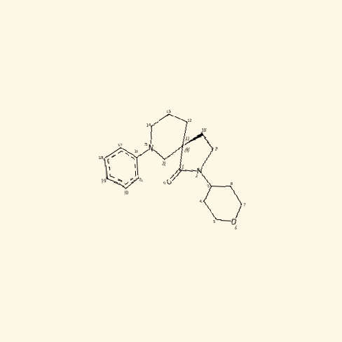 O=C1N(C2CCOCC2)CC[C@@]12CCCN(c1ccccc1)C2